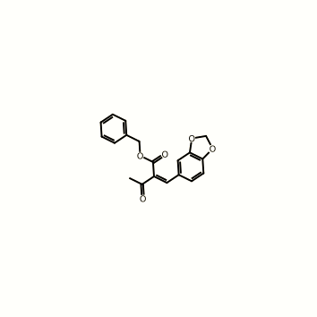 CC(=O)C(=Cc1ccc2c(c1)OCO2)C(=O)OCc1ccccc1